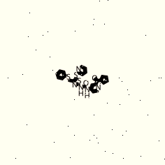 O=C(Nc1ccnc(C(=O)C2CCCC2)c1)Nc1nc(CSc2ccccc2)c(Sc2ccccn2)s1